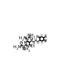 CCc1nc(N(N)C(N)=O)nc(N(N)C(N)=O)c1CCCCc1cc(F)c(F)cc1F